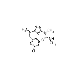 CNC(=O)N(C)c1nnc(N(C)Cc2cccc(Cl)n2)s1